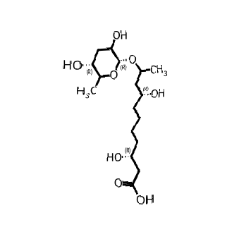 CC(C[C@H](O)CCCC[C@@H](O)CC(=O)O)O[C@@H]1OC(C)[C@H](O)CC1O